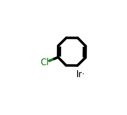 Cl/C1=C/CC/C=C\CC1.[Ir]